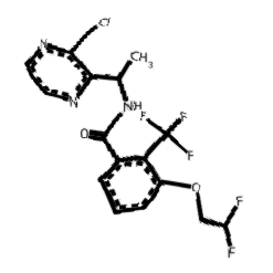 CC(NC(=O)c1cccc(OCC(F)F)c1C(F)(F)F)c1nccnc1Cl